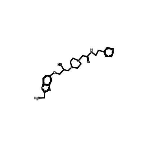 CCc1nc2cc(OCC(O)CN3CCN(CC(=O)NCCc4ccccc4)CC3)ccc2s1